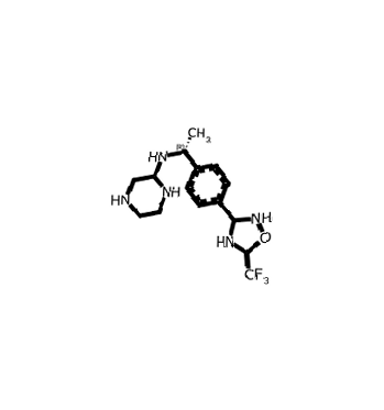 C[C@@H](NC1CNCCN1)c1ccc(C2NOC(C(F)(F)F)N2)cc1